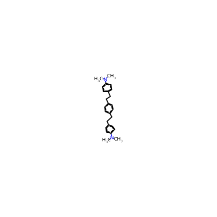 CN(C)c1ccc(CCc2ccc(CCc3ccc(N(C)C)cc3)cc2)cc1